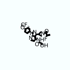 C=C(F)C(=O)N1CC(c2nn(-c3ccc(OC(F)(F)F)cc3)c3nccc(NC(=O)CO)c23)C1